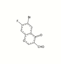 O=Cc1coc2cc(F)c(Br)cc2c1=O